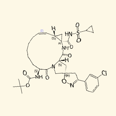 CC(C)(C)OC(=O)N[C@H]1CCCCC/C=C\[C@@H]2C[C@@]2(C(=O)NS(=O)(=O)C2CC2)NC(=O)[C@@H]2C[C@@]3(CC(c4cccc(Cl)c4)=NO3)CN2C1=O